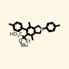 CCC(OC(C)(C)C)(C(=O)O)c1c(C)c2c(c(C)c1-c1ccc(C)cc1)CN(c1ccc(C)cc1)C2